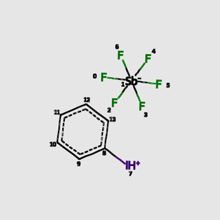 [F][Sb-]([F])([F])([F])([F])[F].[IH+]c1ccccc1